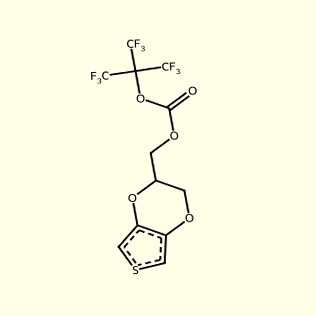 O=C(OCC1COc2cscc2O1)OC(C(F)(F)F)(C(F)(F)F)C(F)(F)F